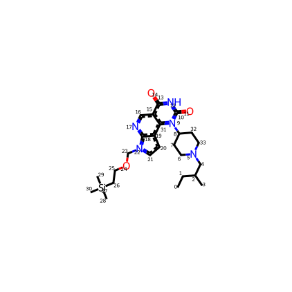 CCC(C)CN1CCC(n2c(=O)[nH]c(=O)c3cnc4c(ccn4COCC[Si](C)(C)C)c32)CC1